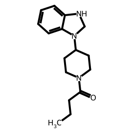 CCCC(=O)N1CCC(N2CNc3ccccc32)CC1